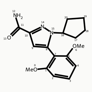 COc1cccc(OC)c1-c1cc(C(N)=O)nn1C1CCCC1